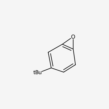 CC(C)(C)c1ccc2c(c1)O2